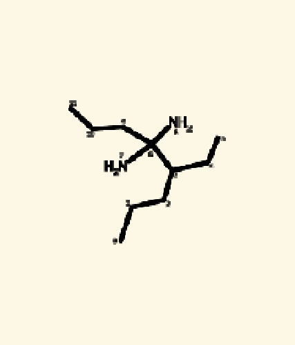 CCCC(CC)C(N)(N)CCC